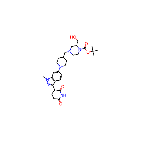 Cn1nc(C2CCC(=O)NC2=O)c2ccc(N3CCC(CN4CCN(C(=O)OC(C)(C)C)[C@H](CO)C4)CC3)cc21